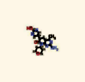 Cc1nc(N)nc2c1cc(-c1cnc(O)nc1)c(=O)n2C1CCOCC1